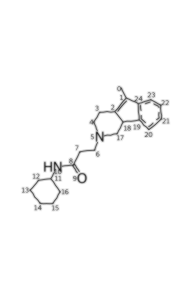 CC1=C2CCN(CCC(=O)NC3CCCCC3)CC2c2ccccc21